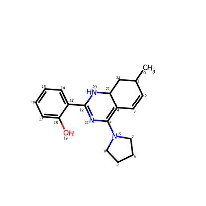 CC1C=CC2=C(N3CCCC3)N=C(c3ccccc3O)NC2C1